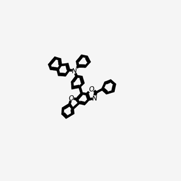 c1ccc(-c2nc3cc4c(oc5ccccc54)c(-c4ccc(N(c5ccccc5)c5ccc6ccccc6c5)cc4)c3o2)cc1